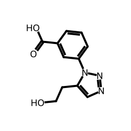 O=C(O)c1cccc(-n2nncc2CCO)c1